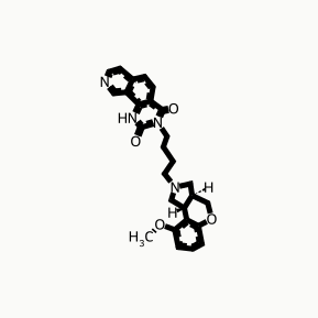 COc1cccc2c1[C@@H]1CN(CCCCn3c(=O)[nH]c4c(ccc5ccncc54)c3=O)C[C@H]1CO2